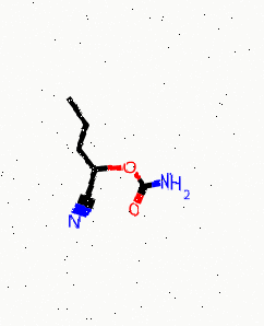 CCCC(C#N)OC(N)=O